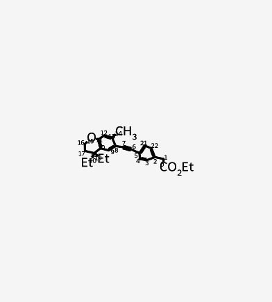 CCOC(=O)Cc1ccc(C#Cc2cc3c(cc2C)OCCC3(CC)CC)cc1